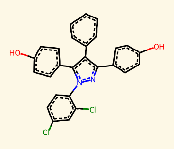 Oc1ccc(-c2nn(-c3ccc(Cl)cc3Cl)c(-c3ccc(O)cc3)c2-c2ccccc2)cc1